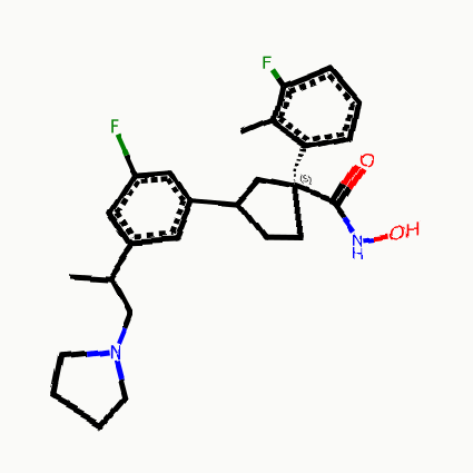 Cc1c(F)cccc1[C@]1(C(=O)NO)CCC(c2cc(F)cc(C(C)CN3CCCC3)c2)C1